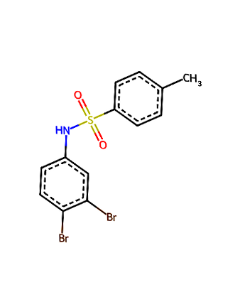 Cc1ccc(S(=O)(=O)Nc2ccc(Br)c(Br)c2)cc1